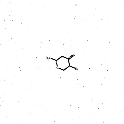 CCC1COC(C)CC1=O